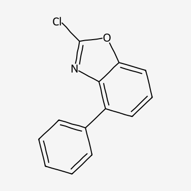 Clc1nc2c(-c3ccccc3)cccc2o1